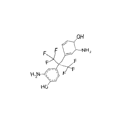 Nc1cc(C(C2=CC(N)C(O)C=C2)(C(F)(F)F)C(F)(F)F)ccc1O